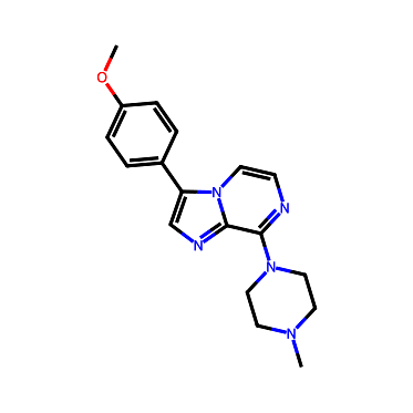 COc1ccc(-c2cnc3c(N4CCN(C)CC4)nccn23)cc1